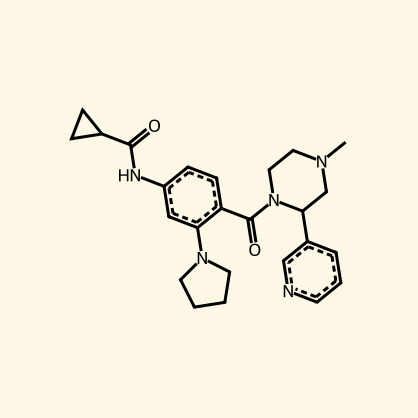 CN1CCN(C(=O)c2ccc(NC(=O)C3CC3)cc2N2CCCC2)C(c2cccnc2)C1